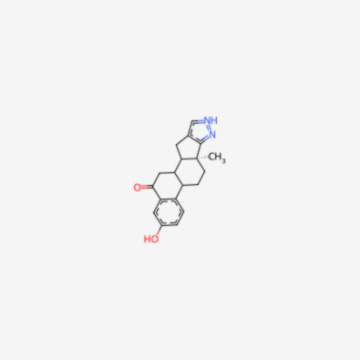 C[C@]12CCC3c4ccc(O)cc4C(=O)CC3C1Cc1c[nH]nc12